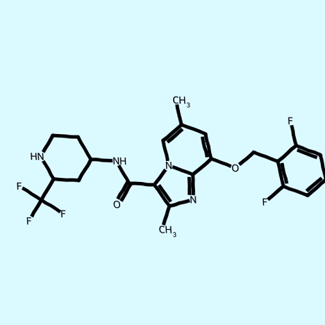 Cc1cc(OCc2c(F)cccc2F)c2nc(C)c(C(=O)NC3CCNC(C(F)(F)F)C3)n2c1